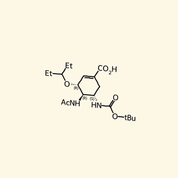 CCC(CC)O[C@@H]1C=C(C(=O)O)C[C@H](NC(=O)OC(C)(C)C)[C@H]1NC(C)=O